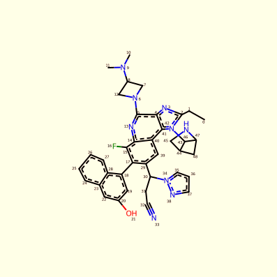 CCc1nc2c(N3CC(N(C)C)C3)nc3c(F)c(-c4cc(O)cc5ccccc45)c(C(CC#N)n4cccn4)cc3c2n1C1C2CNC1C2